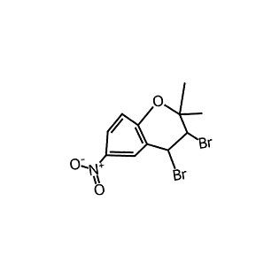 CC1(C)Oc2ccc([N+](=O)[O-])cc2C(Br)C1Br